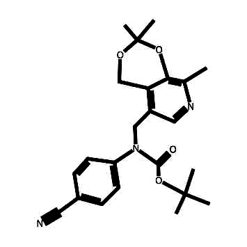 Cc1ncc(CN(C(=O)OC(C)(C)C)c2ccc(C#N)cc2)c2c1OC(C)(C)OC2